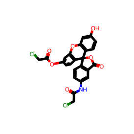 O=C(CCl)Nc1ccc2c(c1)C(=O)OC21c2ccc(O)cc2Oc2cc(OC(=O)CCl)ccc21